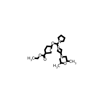 CCOC(=O)C1CCC(OC(N2CCCC2)N2CC(N3CC(C)OC(C)C3)C2)CC1